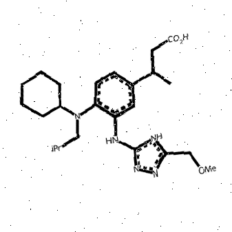 COCc1nnc(Nc2cc(C(C)CC(=O)O)ccc2N(CC(C)C)C2CCCCC2)[nH]1